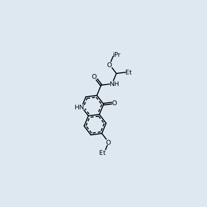 CCOc1ccc2[nH]cc(C(=O)NC(CC)OC(C)C)c(=O)c2c1